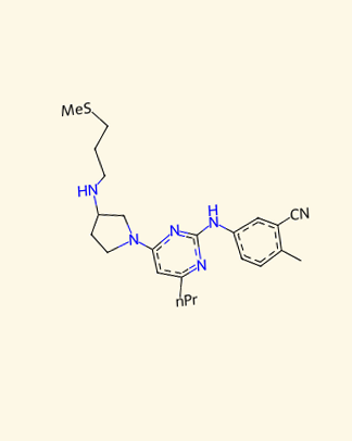 CCCc1cc(N2CCC(NCCCSC)C2)nc(Nc2ccc(C)c(C#N)c2)n1